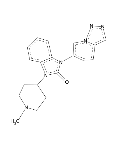 CN1CCC(n2c(=O)n(-c3ccc4cnnn4c3)c3ccccc32)CC1